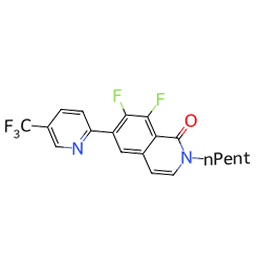 CCCCCn1ccc2cc(-c3ccc(C(F)(F)F)cn3)c(F)c(F)c2c1=O